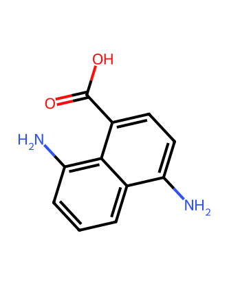 Nc1ccc(C(=O)O)c2c(N)cccc12